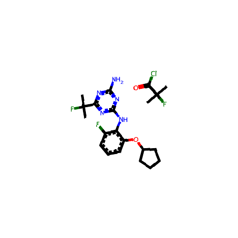 CC(C)(F)C(=O)Cl.CC(C)(F)c1nc(N)nc(Nc2c(F)cccc2OC2CCCC2)n1